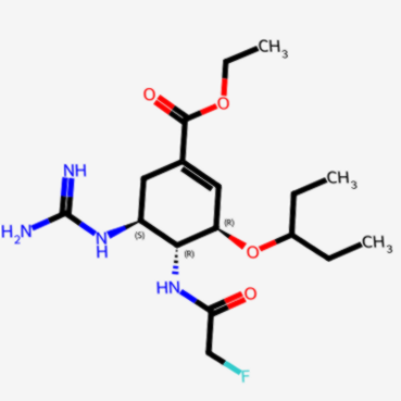 CCOC(=O)C1=C[C@@H](OC(CC)CC)[C@H](NC(=O)CF)[C@@H](NC(=N)N)C1